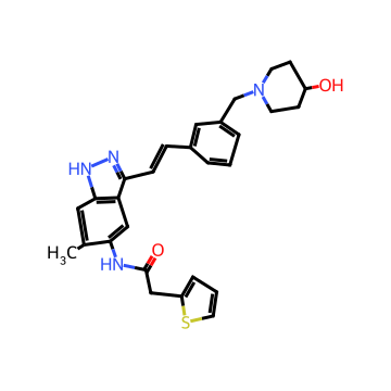 Cc1cc2[nH]nc(/C=C/c3cccc(CN4CCC(O)CC4)c3)c2cc1NC(=O)Cc1cccs1